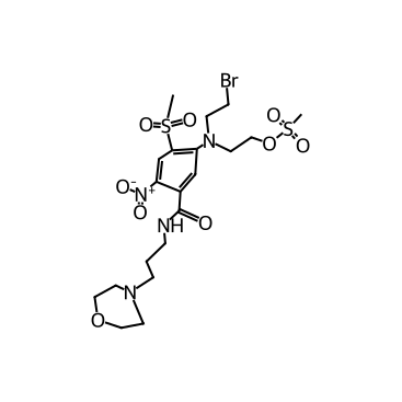 CS(=O)(=O)OCCN(CCBr)c1cc(C(=O)NCCCN2CCOCC2)c([N+](=O)[O-])cc1S(C)(=O)=O